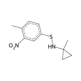 Cc1ccc(SNC2(C)CC2)cc1[N+](=O)[O-]